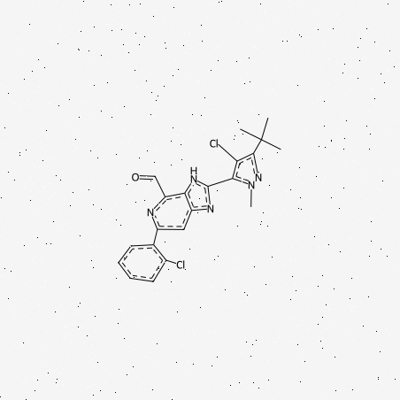 Cn1nc(C(C)(C)C)c(Cl)c1-c1nc2cc(-c3ccccc3Cl)nc(C=O)c2[nH]1